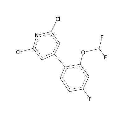 Fc1ccc(-c2cc(Cl)nc(Cl)c2)c(OC(F)F)c1